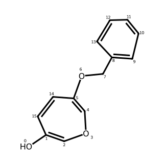 OC1=COC=C(OCc2ccccc2)C=C1